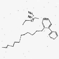 CCCCCCCCCCCCc1ccccc1-c1ccccc1.CCOCC.N.N